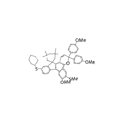 COc1ccc(C2(c3ccc(OC)cc3)C=Cc3c4c(c5cc(OC)c(SC)cc5c3O2)-c2ccc(SC3CCCCC3)cc2C42CC(C)(C)CC(C)(C)C2)cc1